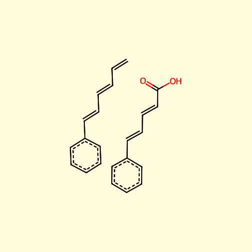 C=CC=CC=Cc1ccccc1.O=C(O)C=CC=Cc1ccccc1